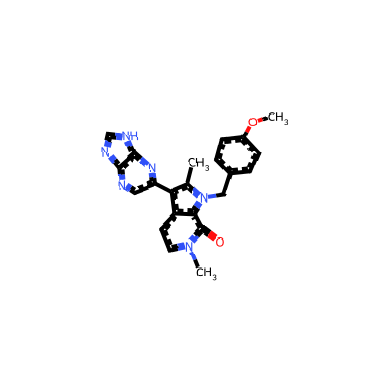 COc1ccc(Cn2c(C)c(-c3cnc4nc[nH]c4n3)c3ccn(C)c(=O)c32)cc1